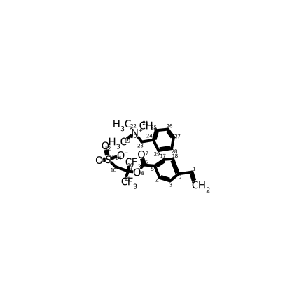 C=Cc1ccc(C(=O)OC(CS(=O)(=O)[O-])(C(F)(F)F)C(F)(F)F)cc1.C[N+](C)(C)Cc1ccccc1